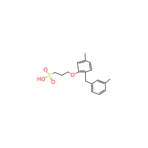 Cc1cccc(Cc2ccc(C)cc2OCCCS(=O)(=O)O)c1